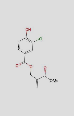 C=C(COC(=O)c1ccc(O)c(Cl)c1)C(=O)OC